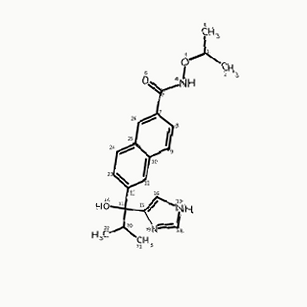 CC(C)ONC(=O)c1ccc2cc(C(O)(c3c[nH]cn3)C(C)C)ccc2c1